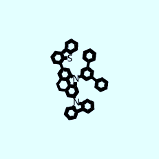 c1ccc(-c2cc(-c3ccccc3)cc(-n3c4cc(-c5cccc6c5sc5ccccc56)cc5c4c4c(cc(-n6c7ccccc7c7ccccc76)cc43)CC5)c2)cc1